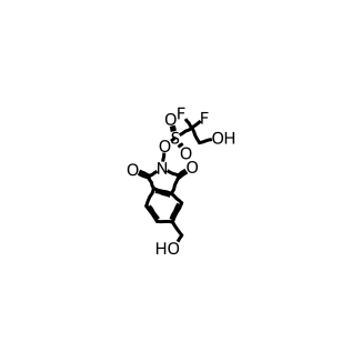 O=C1c2ccc(CO)cc2C(=O)N1OS(=O)(=O)C(F)(F)CO